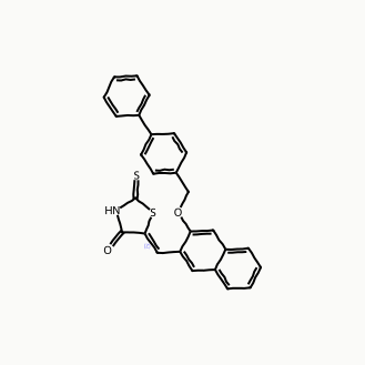 O=C1NC(=S)S/C1=C\c1cc2ccccc2cc1OCc1ccc(-c2ccccc2)cc1